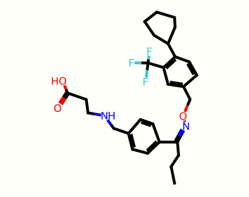 CCCC(=NOCc1ccc(C2CCCCC2)c(C(F)(F)F)c1)c1ccc(CNCCC(=O)O)cc1